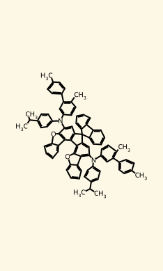 Cc1ccc(-c2cc(N(c3ccc(C(C)C)cc3)c3cc4c(c5c3oc3ccccc35)-c3c(cc(N(c5ccc(C(C)C)cc5)c5ccc(C)c(-c6ccc(C)cc6)c5)c5c3oc3ccccc35)C43c4ccccc4-c4ccccc43)ccc2C)cc1